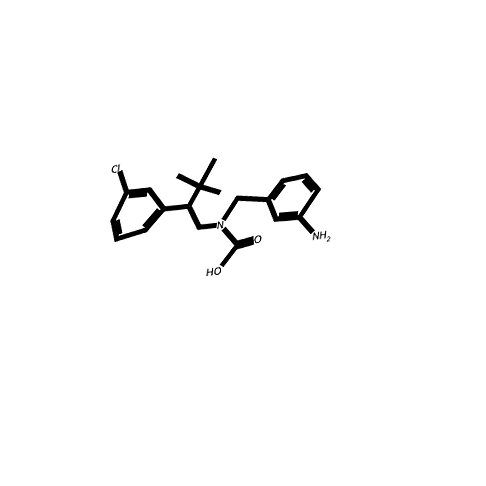 CC(C)(C)C(CN(Cc1cccc(N)c1)C(=O)O)c1cccc(Cl)c1